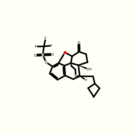 O=C1CC[C@]2(O)[C@@H]3Cc4ccc(OS(=O)(=O)C(F)(F)F)c5c4[C@]2(CCN3CC2CCC2)[C@@H]1O5